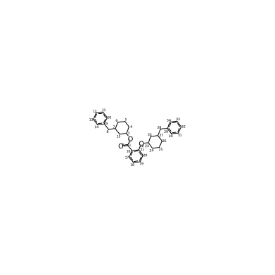 O=C(OC1CCCC(Cc2ccccc2)C1)c1ccccc1OC1CCCC(Cc2ccccc2)C1